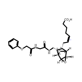 O=C(O)CCC/C=C\C[C@H]1[C@@H](CNC(=O)CNC(=O)COc2ccccc2)[C@@H]2O[C@H]1[C@@H]1O[C@@H]12